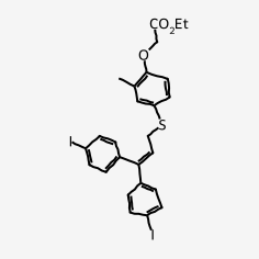 CCOC(=O)COc1ccc(SCC=C(c2ccc(I)cc2)c2ccc(I)cc2)cc1C